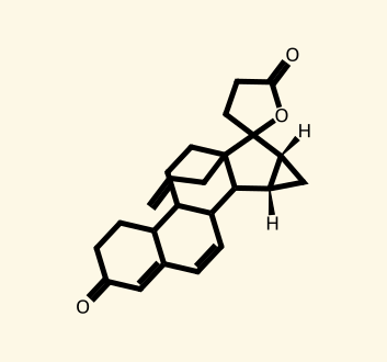 C=CCC12CCC3C4CCC(=O)C=C4C=CC3C1[C@H]1C[C@H]1C21CCC(=O)O1